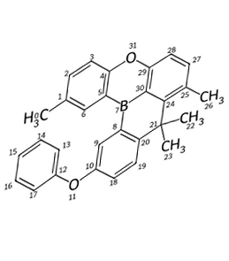 Cc1ccc2c(c1)B1c3cc(Oc4ccccc4)ccc3C(C)(C)c3c(C)ccc(c31)O2